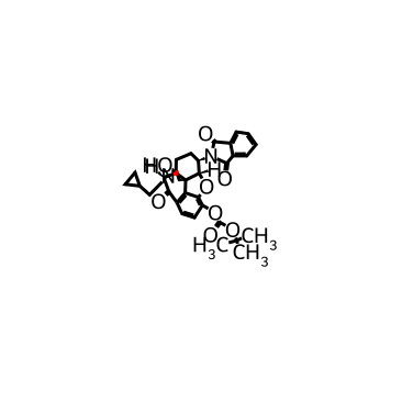 CC(C)(C)OC(=O)Oc1ccc2c3c1O[C@H]1[C@H](N4C(=O)c5ccccc5C4=O)CCC4(O)[C@@H](C2=O)N(CC2CC2)CC[C@]314